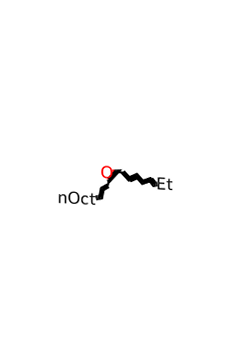 CCC=CCC=CC[C@@H]1O[C@@H]1CCCCCCCCCCC